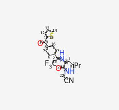 CC(C)C[C@H](N[C@@H](c1ccc(C(=O)c2cccs2)cc1)C(F)(F)F)C(=O)NCC#N